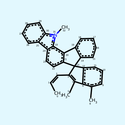 C/C=C\C1=C(C)c2c(C)cccc2C12c1ccccc1-c1c2ccc2c3ccccc3n(C)c12